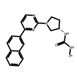 CC(C)NC(=O)N[C@H]1CCN(c2nccc(-c3ccc4ccccc4c3)n2)C1